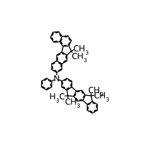 CC1(C)c2ccccc2-c2cc3c(cc21)-c1ccc(N(c2ccccc2)c2ccc4cc5c(cc4c2)C(C)(C)c2ccc4ccccc4c2-5)cc1C3(C)C